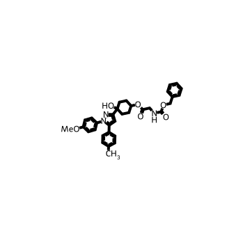 COc1ccc(-n2nc(C3(O)CCC(OC(=O)CNC(=O)OCc4ccccc4)CC3)cc2-c2ccc(C)cc2)cc1